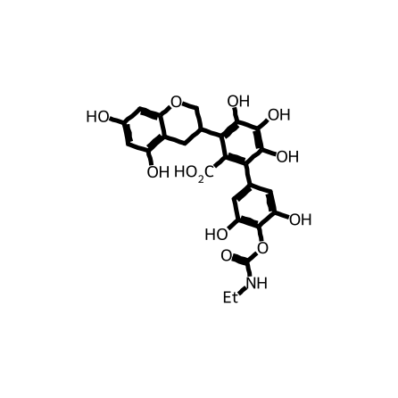 CCNC(=O)Oc1c(O)cc(-c2c(O)c(O)c(O)c(C3COc4cc(O)cc(O)c4C3)c2C(=O)O)cc1O